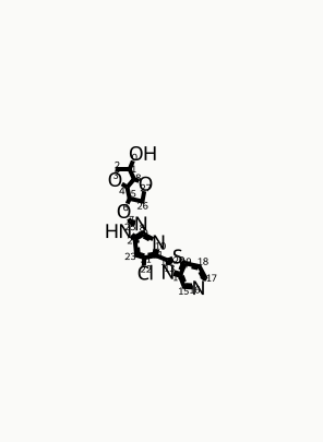 OC1COC2C(Oc3nc4nc(-c5nc6cnccc6s5)c(Cl)cc4[nH]3)COC12